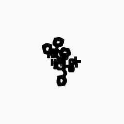 CC(C)(C)OC(=O)C1=C(Cc2ccccc2)CS[C@H]2C(NC(c3ccccc3)(c3ccccc3)c3ccccc3)C(=O)N12